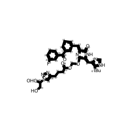 CC(C)(C)c1[nH]cnc1/C=c1\[nH]c(=O)/c(=C/c2cccc(C(=O)c3cccc(F)c3)c2)nc1OCOC(=O)CCCc1cn(C(C=O)CO)nn1